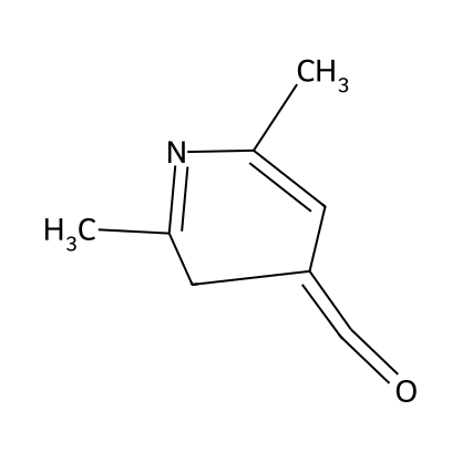 CC1=CC(=C=O)CC(C)=N1